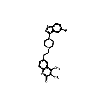 Cc1c(C)c2cc(CCN3CCN(c4nsc5ccc(F)cc45)CC3)ccc2[nH]c1=O